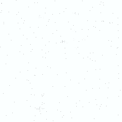 CCCCCCCCCCCCCCCCCCOP(=O)(O)Oc1ccc(C(C)(C)C)cc1C(C)(C)C